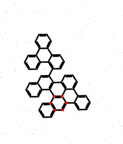 c1ccc2c(-c3c(-c4cccc5c6ccccc6c6ccccc6c45)c(-c4cccc5c6ccccc6c6ccccc6c45)cc4ccccc34)cccc2c1